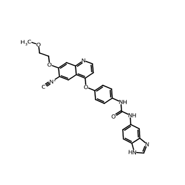 [C-]#[N+]c1cc2c(Oc3ccc(NC(=O)Nc4ccc5[nH]cnc5c4)cc3)ccnc2cc1OCCOC